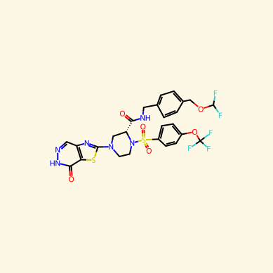 O=C(NCc1ccc(COC(F)F)cc1)[C@H]1CN(c2nc3cn[nH]c(=O)c3s2)CCN1S(=O)(=O)c1ccc(OC(F)(F)F)cc1